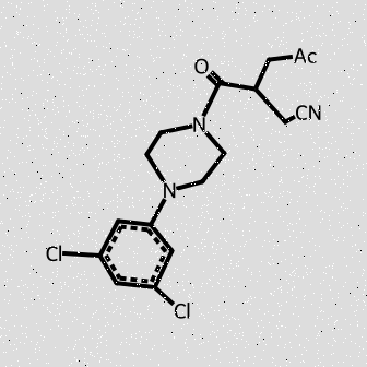 CC(=O)CC(CC#N)C(=O)N1CCN(c2cc(Cl)cc(Cl)c2)CC1